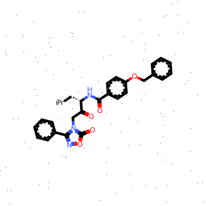 CC(C)C[C@H](NC(=O)c1ccc(OCc2ccccc2)cc1)C(=O)Cn1c(-c2ccccc2)noc1=O